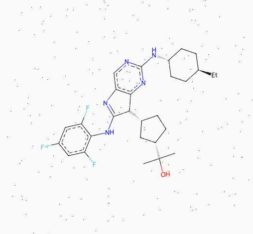 CC[C@H]1CC[C@H](Nc2ncc3c(n2)C([C@@H]2CC[C@H](C(C)(C)O)C2)C(Nc2c(F)cc(F)cc2F)=N3)CC1